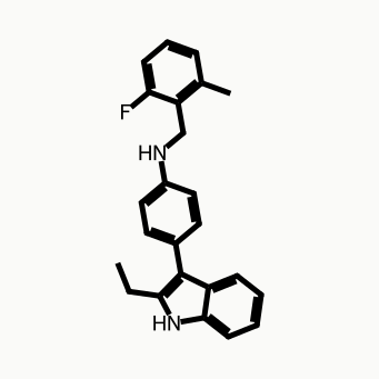 CCc1[nH]c2ccccc2c1-c1ccc(NCc2c(C)cccc2F)cc1